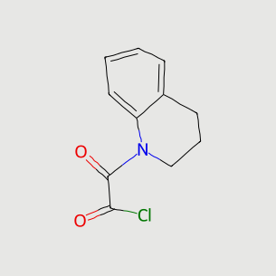 O=C(Cl)C(=O)N1CCCc2ccccc21